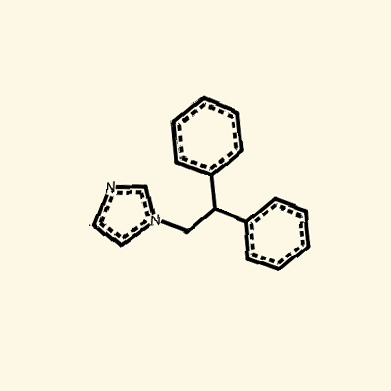 [c]1cn(CC(c2ccccc2)c2ccccc2)cn1